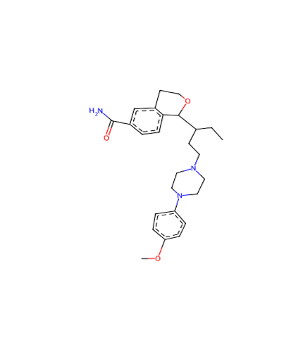 CCC(CCN1CCN(c2ccc(OC)cc2)CC1)C1OCCc2cc(C(N)=O)ccc21